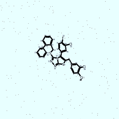 COc1ccc(Cc2sc3nnc(SCc4ccccc4-c4ccccc4)n3c2-c2ccc(F)c(Cl)c2)cc1Cl